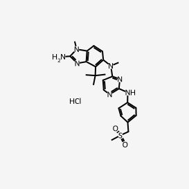 CN(c1ccnc(Nc2ccc(CS(C)(=O)=O)cc2)n1)c1ccc2c(nc(N)n2C)c1C(C)(C)C.Cl